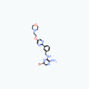 Nc1ncc(Br)nc1NCc1cccc(-c2ncc(OCCN3CCOCC3)cn2)c1